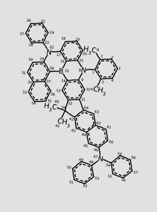 Cc1cccc(C)c1N1c2cc3c(cc2B2c4c(cccc41)N(c1ccccc1)c1ccc4ccccc4c12)C(C)(C)c1cc2cc(N(c4ccccc4)c4ccccc4)ccc2cc1-3